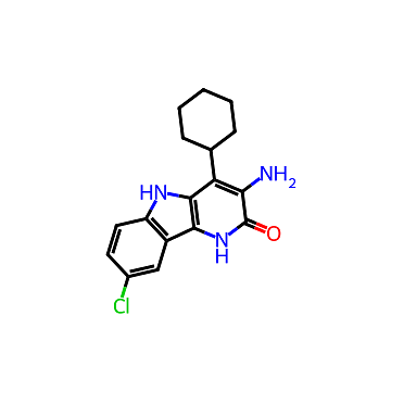 Nc1c(C2CCCCC2)c2[nH]c3ccc(Cl)cc3c2[nH]c1=O